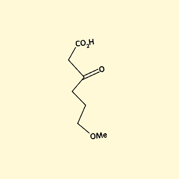 COCCCC(=O)CC(=O)O